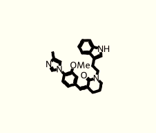 COc1cc(C=C2CCCN(CCc3c[nH]c4ccccc34)C2=O)ccc1-n1cnc(C)c1